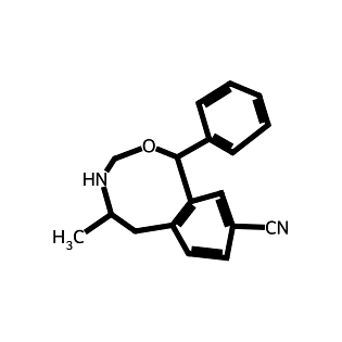 CC1Cc2ccc(C#N)cc2C(c2ccccc2)OCN1